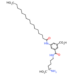 N[C@@H](CCCCNC(=O)c1cc(NC(=O)CCCCCCCCCCCCCCC(=O)O)cc(C(=O)O)c1)C(=O)O